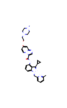 Cc1cccc(Cn2nc(C3CC3)c3c(NC(=O)c4cnc5cc(OCCN6CCN(C)CC6)ccn45)cccc32)n1